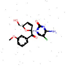 COc1cccc(C(=O)[C@]2(n3cc(F)c(N)nc3=O)C=C[C@@H](CO)O2)c1